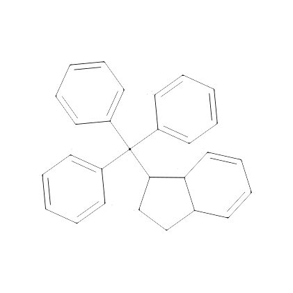 C1=CC2CCC(C(c3ccccc3)(c3ccccc3)c3ccccc3)C2C=C1